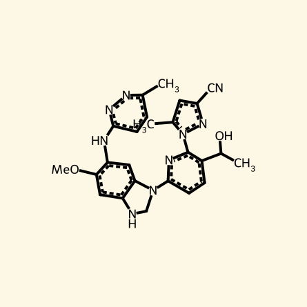 COc1cc2c(cc1Nc1ccc(C)nn1)N(c1ccc(C(C)O)c(-n3nc(C#N)cc3C)n1)CN2